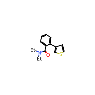 CCN(CC)C(=O)c1ccccc1-c1ccsc1